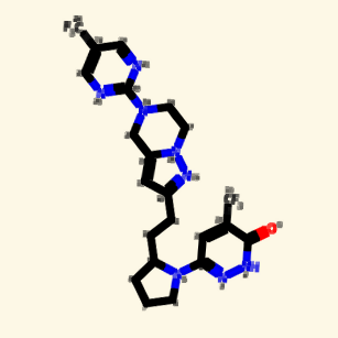 O=c1[nH]nc(N2CCCC2CCc2cc3n(n2)CCN(c2ncc(C(F)(F)F)cn2)C3)cc1C(F)(F)F